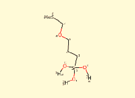 [3H]O[Si](CCCOCSC)(O[3H])O[3H]